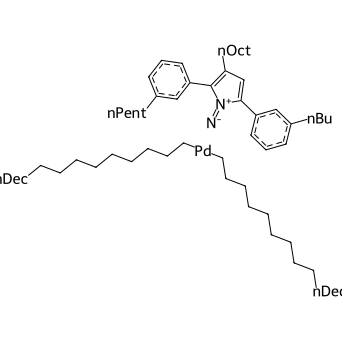 CCCCCCCCC1=C(c2cccc(CCCCC)c2)[N+](=[N-])C(c2cccc(CCCC)c2)=C1.CCCCCCCCCCCCCCCCCC[CH2][Pd][CH2]CCCCCCCCCCCCCCCCCC